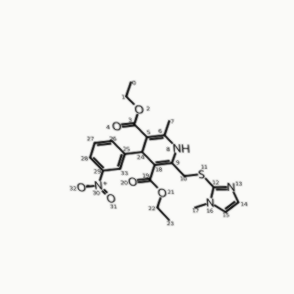 CCOC(=O)C1=C(C)NC(CSc2nccn2C)=C(C(=O)OCC)C1c1cccc([N+](=O)[O-])c1